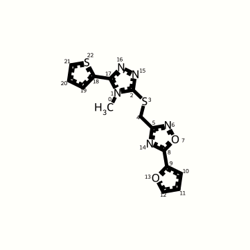 Cn1c(SCc2noc(-c3ccco3)n2)nnc1-c1cccs1